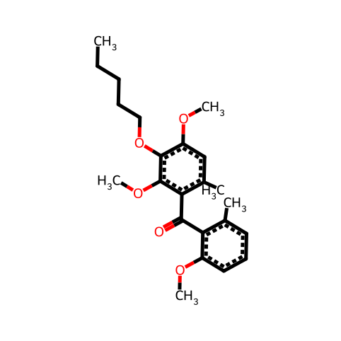 CCCCCOc1c(OC)cc(C)c(C(=O)c2c(C)cccc2OC)c1OC